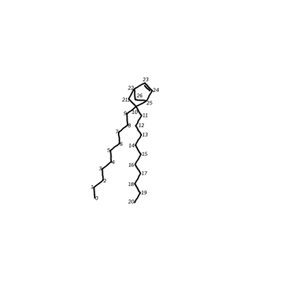 CCCCCCCCCCC1(CCCCCCCCCC)[CH]C2C=CC1C2